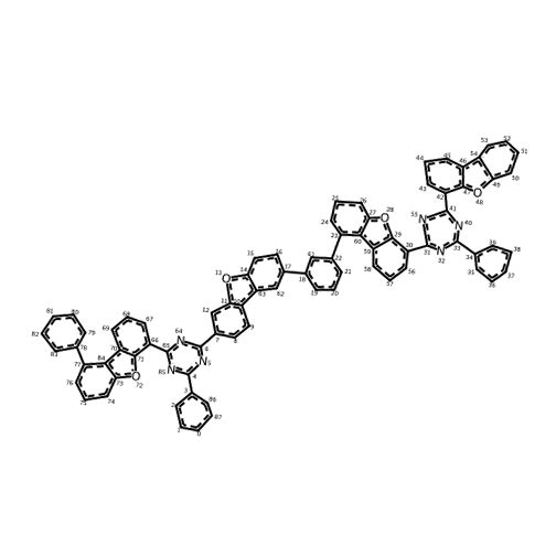 c1ccc(-c2nc(-c3ccc4c(c3)oc3ccc(-c5cccc(-c6cccc7oc8c(-c9nc(-c%10ccccc%10)nc(-c%10cccc%11c%10oc%10ccccc%10%11)n9)cccc8c67)c5)cc34)nc(-c3cccc4c3oc3cccc(-c5ccccc5)c34)n2)cc1